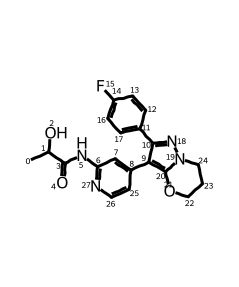 CC(O)C(=O)Nc1cc(-c2c(-c3ccc(F)cc3)nn3c2OCCC3)ccn1